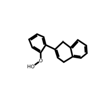 OOc1ccccc1C1=CCc2ccccc2[CH]1